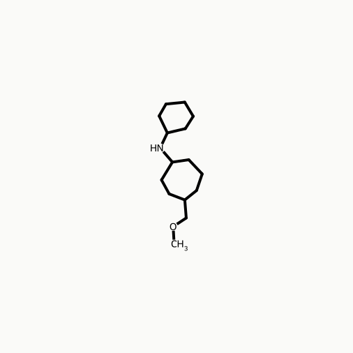 COCC1CCCC(NC2CCCCC2)CC1